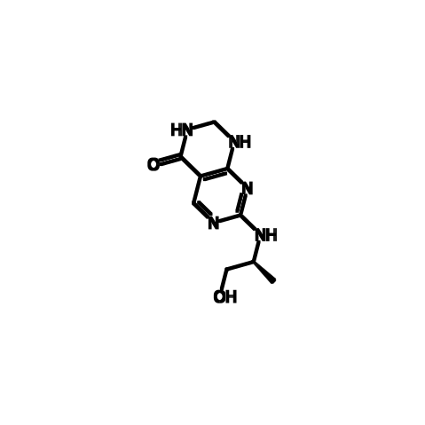 C[C@@H](CO)Nc1ncc2c(n1)NCNC2=O